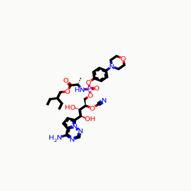 CCC(CC)COC(=O)[C@H](C)NP(=O)(OC[C@@H](OC#N)[C@@H](O)[C@@H](O)c1ccc2c(N)ncnn12)Oc1ccc(N2CCOCC2)cc1